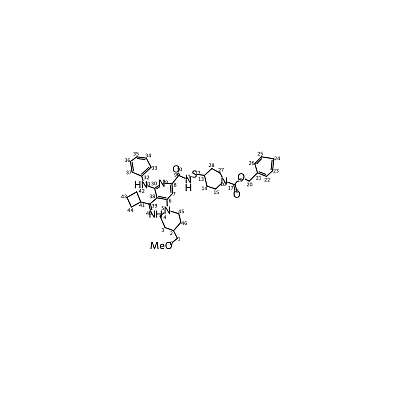 COCC1CCN(c2cc(C(=O)NSC3CCN(C(=O)OCc4ccccc4)CC3)nc(Nc3ccccc3)c2C(=N)C2CCC2)CC1